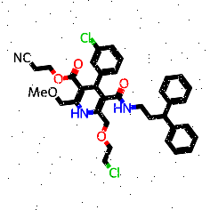 COCC1=C(C(=O)OCCC#N)C(c2cccc(Cl)c2)C(C(=O)NCCC(c2ccccc2)c2ccccc2)=C(COCCCl)N1